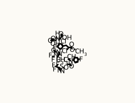 CC(C)N(C(=O)COc1nnc(C(F)(F)F)s1)c1ccc(F)cc1.CCOC(=O)C(Cl)Cc1cc(-n2nc(C)n(C(F)F)c2=O)c(F)cc1Cl.O=C(O)CNCP(=O)(O)O